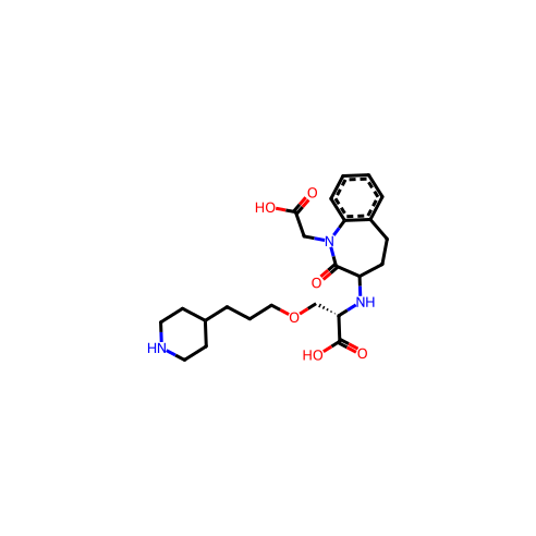 O=C(O)CN1C(=O)C(N[C@@H](COCCCC2CCNCC2)C(=O)O)CCc2ccccc21